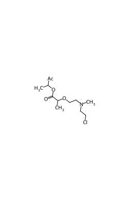 CC(=O)C(C)OC(=O)C(C)OCCN(C)CCCl